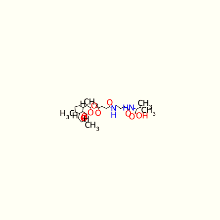 CC(C)[C@H](NC(=O)CCCNC(=O)CCC(=O)O[C@@H]1O[C@@H]2O[C@@]3(C)CC[C@H]4[C@H](C)CC[C@@H]([C@H]1C)[C@@]24OO3)C(=O)O